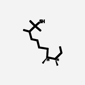 CC[C@H](C)[C@H](C)CCCCC(C)C(C)(C)S